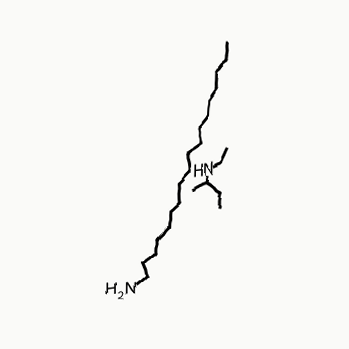 CCCCCCCCCCCCCCCCCCN.CCNC(C)CC